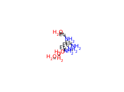 CCN.CCN.CCN.CCN.O.O.O.O